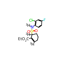 [2H]C1=C(C(=O)OCC)[C@]([2H])(S(=O)(=O)N([2H])c2ccc(F)cc2Cl)CCC1